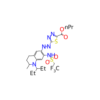 CCCOC(=O)c1nnc(N=Nc2cc3c(cc2NS(=O)(=O)CC(F)(F)F)N(C(CC)CC)C(C)CC3)s1